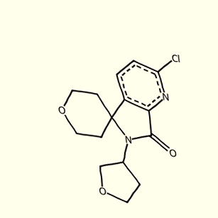 O=C1c2nc(Cl)ccc2C2(CCOCC2)N1C1CCOC1